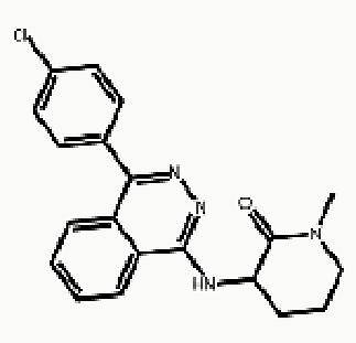 CN1CCCC(Nc2nnc(-c3ccc(Cl)cc3)c3ccccc23)C1=O